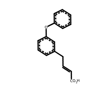 O=C(O)C=CCc1cccc(Oc2ccccc2)c1